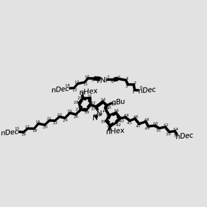 CCCCCCCCCCCCCCC#[C][Ni][C]#CCCCCCCCCCCCCCC.CCCCCCCCCCCCCCCCCCCCCc1cc(CCCCCC)cc(C2=CC(CCCC)=C(c3cc(CCCCCC)cc(CCCCCCCCCCCCCCCCCCCCC)c3)[N+]2=[N-])c1